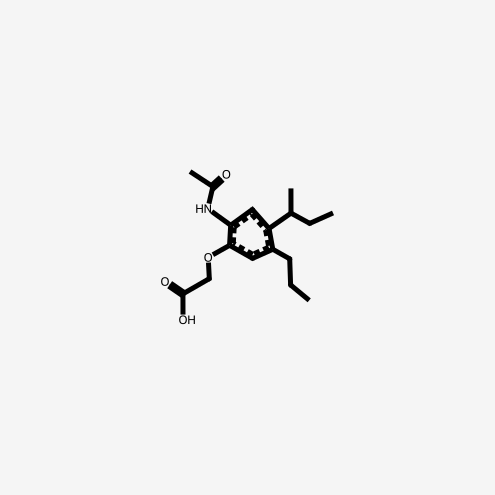 CCCc1cc(OCC(=O)O)c(NC(C)=O)cc1C(C)CC